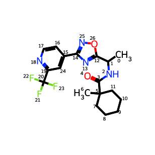 CC(NC(=O)C1(C)CCCCC1)c1nc(-c2ccnc(C(F)(F)F)c2)no1